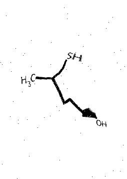 CC(S)CCO